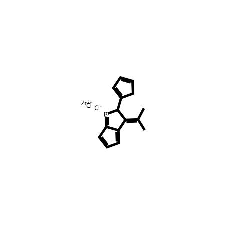 CC(C)=C1C2=CC=CC2=BC1C1=CC=CC1.[Cl-].[Cl-].[Zr+2]